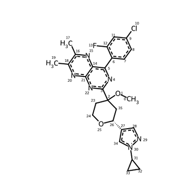 COC1(c2nc(-c3ccc(Cl)cc3F)c3nc(C)c(C)nc3n2)CCO[C@@H](c2cnn(C3CC3)c2)C1